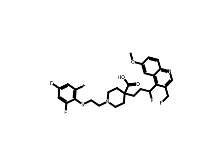 COc1ccc2ncc(CF)c(C(F)CCC3(C(=O)O)CCN(CCSc4c(F)cc(F)cc4F)CC3)c2c1